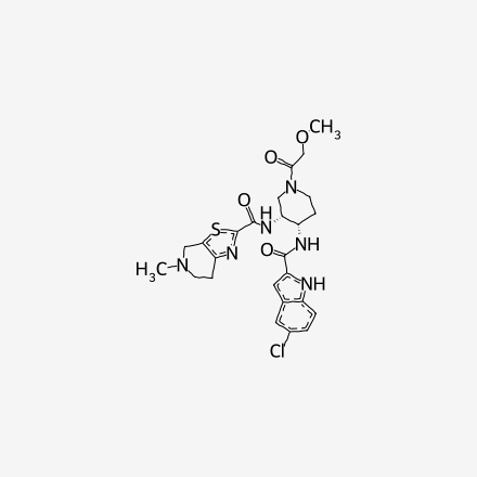 COCC(=O)N1CC[C@H](NC(=O)c2cc3cc(Cl)ccc3[nH]2)[C@H](NC(=O)c2nc3c(s2)CN(C)CC3)C1